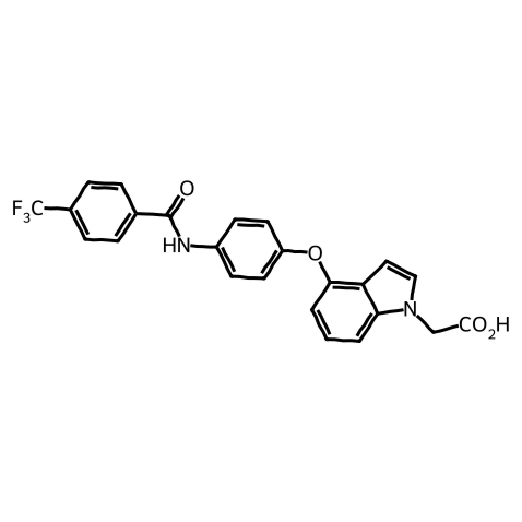 O=C(O)Cn1ccc2c(Oc3ccc(NC(=O)c4ccc(C(F)(F)F)cc4)cc3)cccc21